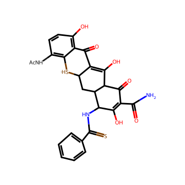 CC(=O)Nc1ccc(O)c2c1[SH]C1CC3C(NC(=S)c4ccccc4)C(O)=C(C(N)=O)C(=O)C3C(O)=C1C2=O